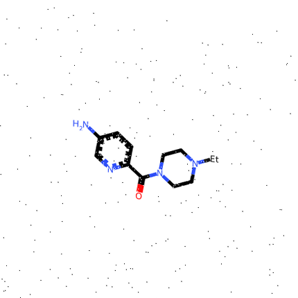 CCN1CCN(C(=O)c2ccc(N)cn2)CC1